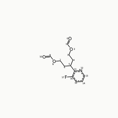 O=COCCC(CCOC=O)c1ncccc1F